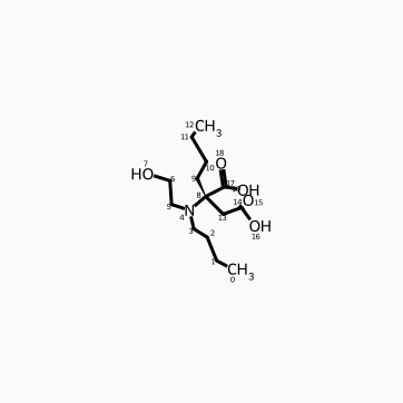 CCCCN(CCO)[C@@](CCCC)(CC(=O)O)C(=O)O